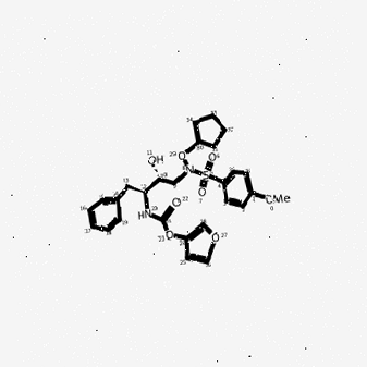 COc1ccc(S(=O)(=O)N(C[C@@H](O)[C@H](Cc2ccccc2)NC(=O)Oc2ccoc2)OC2CCCC2)cc1